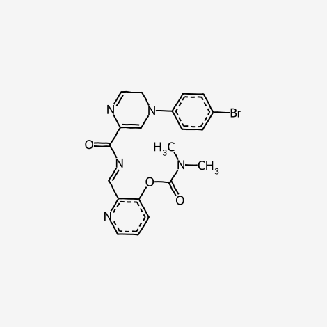 CN(C)C(=O)Oc1cccnc1C=NC(=O)C1=CN(c2ccc(Br)cc2)CC=N1